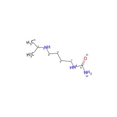 CC(C)NCCCCNC(N)=O